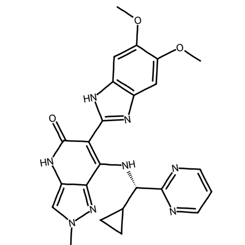 COc1cc2nc(-c3c(N[C@H](c4ncccn4)C4CC4)c4nn(C)cc4[nH]c3=O)[nH]c2cc1OC